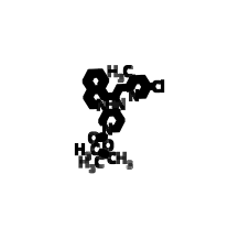 Cc1cc(Cl)cnc1CC(NC1CCN(C(=O)OC(C)(C)C)CC1)c1nccc2ccccc12